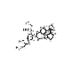 CCC(O)CN1CCN(CC(O)CC)[C@@H](C(CC)Oc2ccc(C3(c4ccccc4)CCCC3)cc2)C1